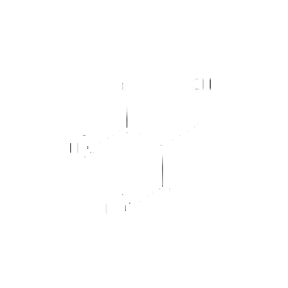 CC[C](CC)C(C)Cl